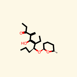 C=C(C(=O)CC)/C(O)=C(\CC)[C@H](CCC)O[C@H]1CCC[C@H](C)O1